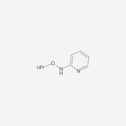 CCCONc1ccccn1